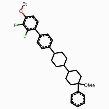 CCOc1ccc(-c2ccc(C3CCC(C4CCC(OC)(c5ccccc5)CC4)CC3)cc2)c(F)c1F